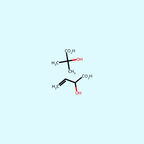 C=CC(O)C(=O)O.CC(C)(O)C(=O)O